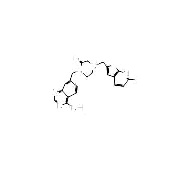 Nc1ncnc2cc(CN3CCN(Cc4cc5ccc(Cl)nc5s4)CC3=O)ccc12